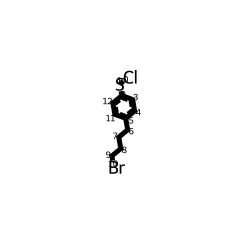 ClSc1ccc(CCCCBr)cc1